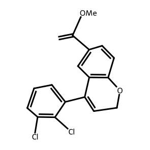 C=C(OC)c1ccc2c(c1)C(c1cccc(Cl)c1Cl)=CCO2